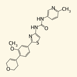 COc1cc(-c2nc(NC(=O)Nc3ccc(C)nc3)cs2)ccc1C1=CCOCC1